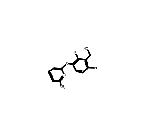 Cc1cccc(Oc2ccc(Br)c(CO)c2F)n1